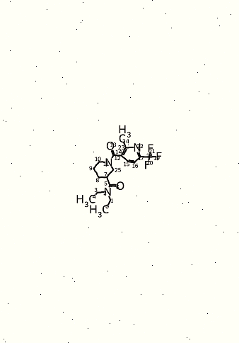 CCN(CC)C(=O)C1CCCN(C(=O)c2ccc(C(F)(F)F)nc2C)C1